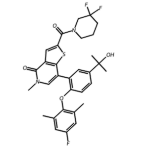 Cc1cc(F)cc(C)c1Oc1ccc(C(C)(C)O)cc1-c1cn(C)c(=O)c2cc(C(=O)N3CCCC(F)(F)C3)sc12